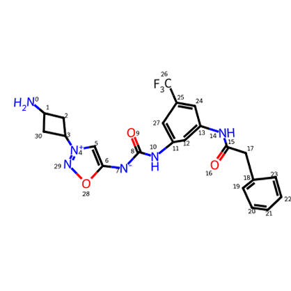 NC1CC([n+]2cc([N-]C(=O)Nc3cc(NC(=O)Cc4ccccc4)cc(C(F)(F)F)c3)on2)C1